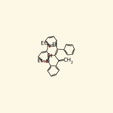 C=C(C(=C(c1ccccc1)c1ccccc1)c1ccccc1N(CC)CC)c1ccccc1N(CC)CC